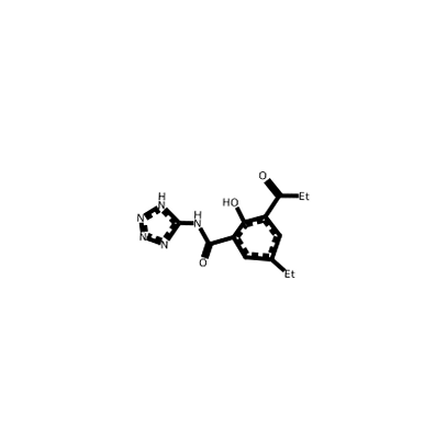 CCC(=O)c1cc(CC)cc(C(=O)Nc2nnn[nH]2)c1O